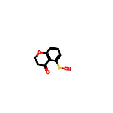 O=C1CCOc2cccc(SO)c21